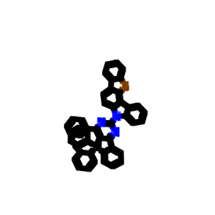 CC1C=CC=CC1[Si]1(c2ccccc2)c2ccccc2-c2nc(-n3c4ccccc4c4c5sc6ccccc6c5ccc43)nc(-c3ccccc3)c21